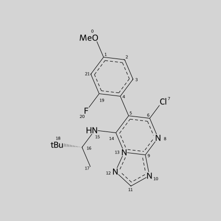 COc1ccc(-c2c(Cl)nc3ncnn3c2N[C@H](C)C(C)(C)C)c(F)c1